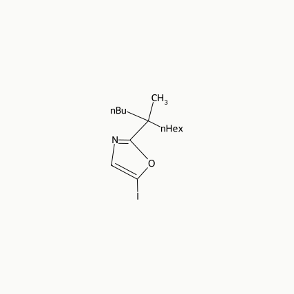 CCCCCCC(C)(CCCC)c1ncc(I)o1